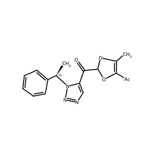 CC(=O)C1=C(C)OC(C(=O)c2cnnn2[C@H](C)c2ccccc2)O1